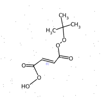 CC(C)(C)OOC(=O)/C=C/C(=O)OO